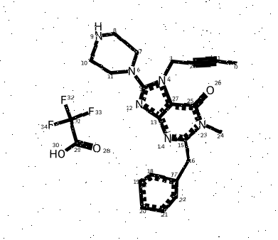 CC#CCn1c(N2CCNCC2)nc2nc(Cc3ccccc3)n(C)c(=O)c21.O=C(O)C(F)(F)F